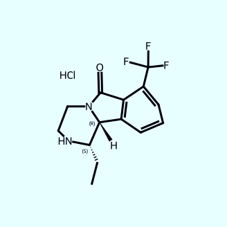 CC[C@@H]1NCCN2C(=O)c3c(cccc3C(F)(F)F)[C@H]12.Cl